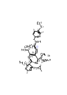 CCSc1ccc(CN/C(C=O)=N/c2c(CO)nc(-c3c(C)ncnc3C3CC3)nc2N(C)[C@H](C)CC)nc1